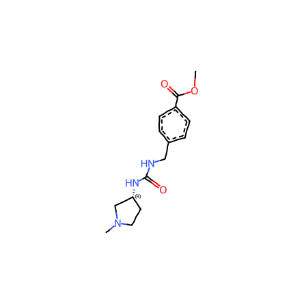 COC(=O)c1ccc(CNC(=O)N[C@@H]2CCN(C)C2)cc1